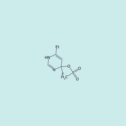 CCC1=CC(F)(OS(C)(=O)=O)N=CN1